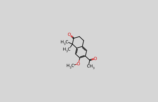 COc1cc2c(cc1C(C)=O)CCC(=O)C2(C)C